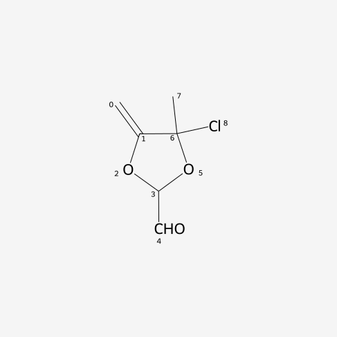 C=C1OC(C=O)OC1(C)Cl